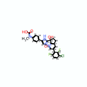 CN(C(=O)O)c1ccc(-c2cnc(C3(O)CCc4cc(-c5c(F)ccc(Cl)c5F)c[n+]([O-])c43)[nH]2)cc1